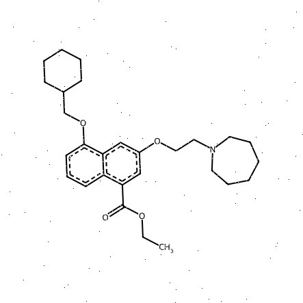 CCOC(=O)c1cc(OCCN2CCCCCC2)cc2c(OCC3CCCCC3)cccc12